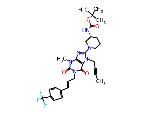 CC#CCn1c(N2CCC[C@@H](NC(=O)OC(C)(C)C)C2)nc2c1c(=O)n(C/C=C/c1ccc(C(F)(F)F)cc1)c(=O)n2C